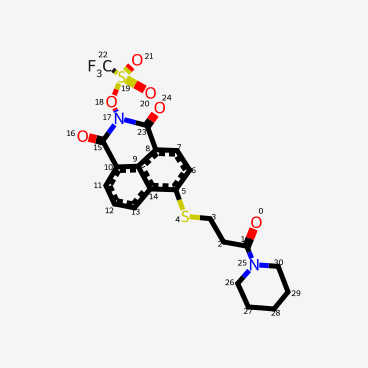 O=C(CCSc1ccc2c3c(cccc13)C(=O)N(OS(=O)(=O)C(F)(F)F)C2=O)N1CCCCC1